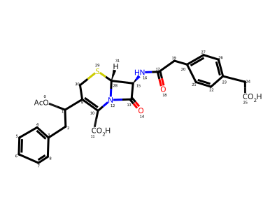 CC(=O)OC(Cc1ccccc1)C1=C(C(=O)O)N2C(=O)[C@H](NC(=O)Cc3ccc(CC(=O)O)cc3)[C@H]2SC1